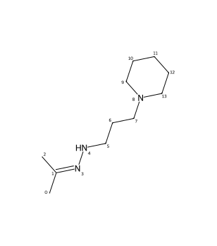 CC(C)=NNCCCN1CCCCC1